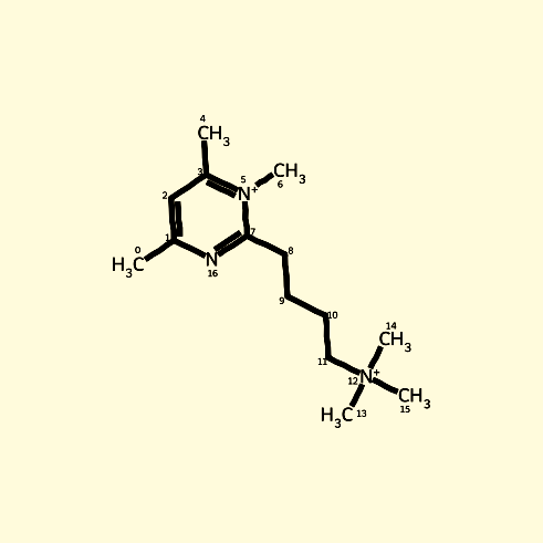 Cc1cc(C)[n+](C)c(CCCC[N+](C)(C)C)n1